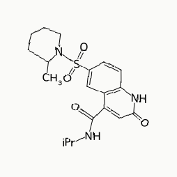 CC(C)NC(=O)c1cc(=O)[nH]c2ccc(S(=O)(=O)N3CCCCC3C)cc12